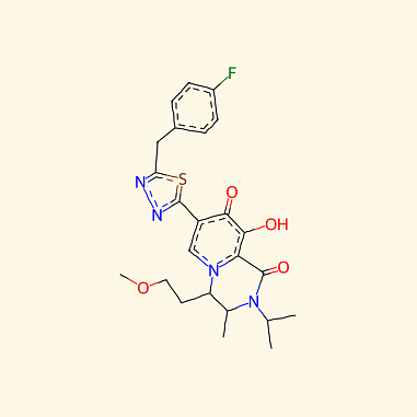 COCCC1C(C)N(C(C)C)C(=O)c2c(O)c(=O)c(-c3nnc(Cc4ccc(F)cc4)s3)cn21